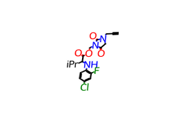 C#CCN1CC(=O)N(COC(=O)C(Nc2ccc(Cl)cc2F)C(C)C)C1=O